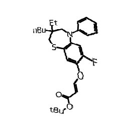 CCCCC1(CC)CSc2cc(O/C=C/C(=O)OC(C)(C)C)c(F)cc2N(c2ccccc2)C1